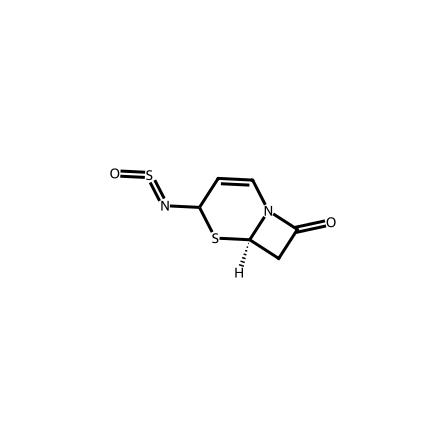 O=S=NC1C=CN2C(=O)C[C@H]2S1